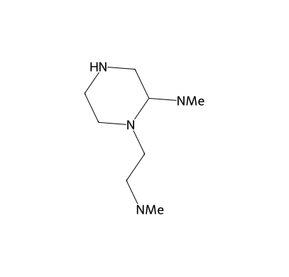 CNCCN1CCNCC1NC